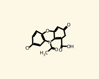 CC(=O)N1C2=C(C(=O)O)CC(=O)C=C2Oc2ccc(Cl)cc21